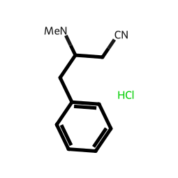 CNC(CC#N)Cc1ccccc1.Cl